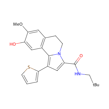 COc1cc2c(cc1O)-c1c(-c3cccs3)cc(C(=O)NCC(C)(C)C)n1CC2